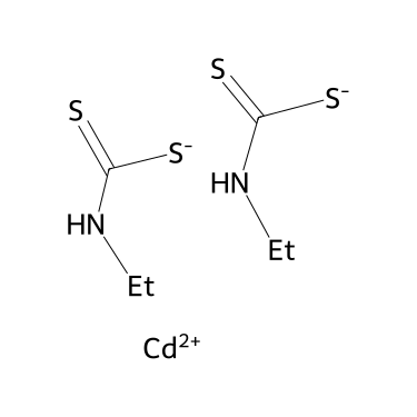 CCNC(=S)[S-].CCNC(=S)[S-].[Cd+2]